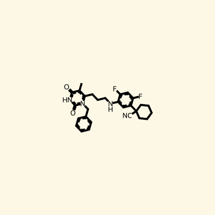 Cc1c(CCCNc2cc(C3(C#N)CCCCC3)c(F)cc2F)n(Cc2ccccc2)c(=O)[nH]c1=O